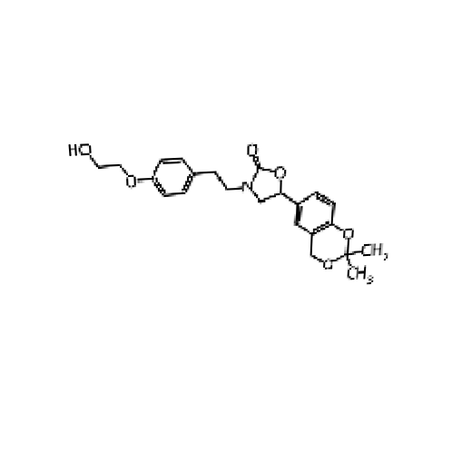 CC1(C)OCc2cc(C3CN(CCc4ccc(OCCO)cc4)C(=O)O3)ccc2O1